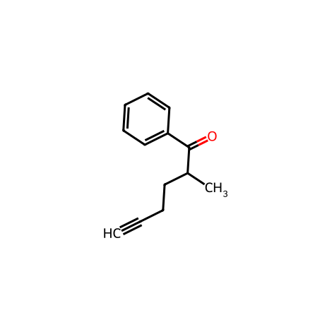 C#CCCC(C)C(=O)c1ccccc1